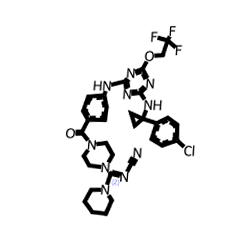 N#C/N=C(/N1CCCCC1)N1CCN(C(=O)c2ccc(Nc3nc(NC4(c5ccc(Cl)cc5)CC4)nc(OCC(F)(F)F)n3)cc2)CC1